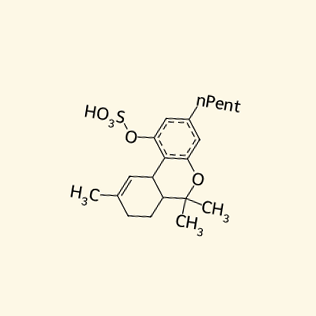 CCCCCc1cc2c(c(OS(=O)(=O)O)c1)C1C=C(C)CCC1C(C)(C)O2